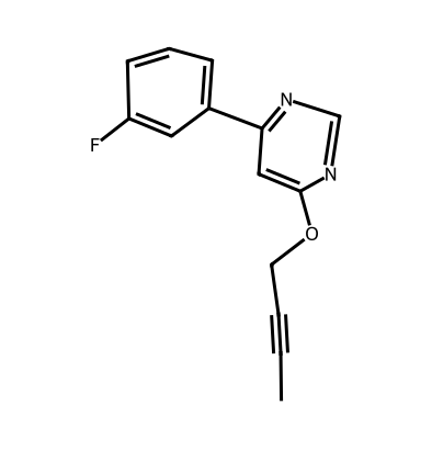 CC#CCOc1cc(-c2cccc(F)c2)ncn1